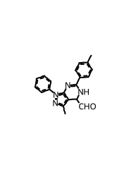 Cc1ccc(C2=Nc3c(c(C)nn3-c3ccccc3)C(C=O)N2)cc1